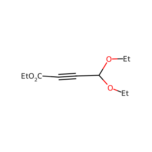 CCOC(=O)C#CC(OCC)OCC